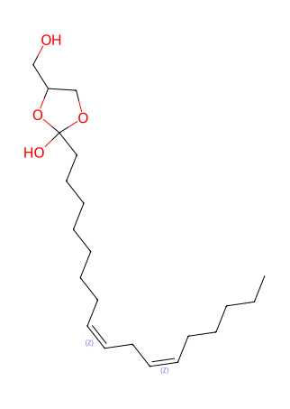 CCCCC/C=C\C/C=C\CCCCCCCC1(O)OCC(CO)O1